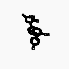 CC1CN(C2C3CC4CC2C(c2ccc(Cl)cc2)C(O)(C4)C3)C(=O)N1